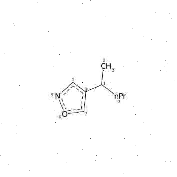 CCCC(C)c1cnoc1